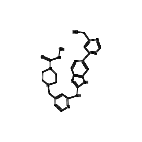 CC(C)(C)OC(=O)N1CCN(Cc2ccnc(Nc3nc4ccc(-c5cc(CO)ncn5)cc4[nH]3)c2)CC1